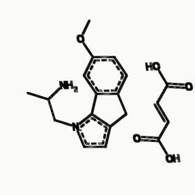 COc1ccc2c(c1)-c1c(ccn1CC(C)N)C2.O=C(O)C=CC(=O)O